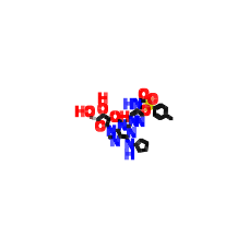 Cc1ccc(S(=O)(=O)C(=O)Nc2cnn(-c3nc(NC4CCCC4)c4ncn([C@@H]5O[C@H](CO)C(O)C5O)c4n3)c2)cc1